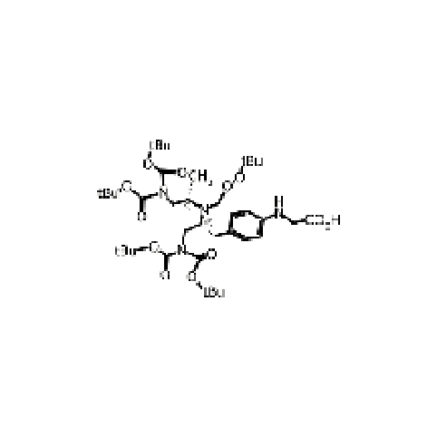 C[C@@H](CN(C(=O)OC(C)(C)C)C(=O)OC(C)(C)C)N(COOC(C)(C)C)[C@H](Cc1ccc(NCC(=O)O)cc1)CN(C(=O)OC(C)(C)C)C(=O)OC(C)(C)C